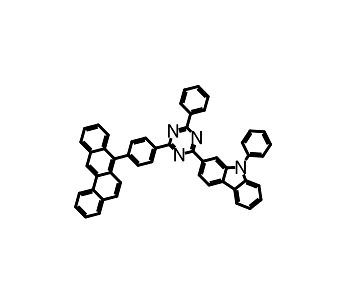 c1ccc(-c2nc(-c3ccc(-c4c5ccccc5cc5c4ccc4ccccc45)cc3)nc(-c3ccc4c5ccccc5n(-c5ccccc5)c4c3)n2)cc1